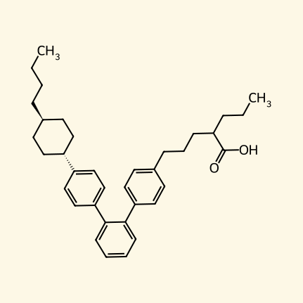 CCCC[C@H]1CC[C@H](c2ccc(-c3ccccc3-c3ccc(CCCC(CCC)C(=O)O)cc3)cc2)CC1